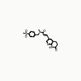 CN(Cc1ccc(S(C)(=O)=O)cc1)C(=O)/C=C/c1cnc2c(c1)CCC(=O)N2